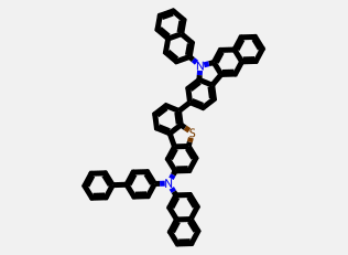 c1ccc(-c2ccc(N(c3ccc4ccccc4c3)c3ccc4sc5c(-c6ccc7c8cc9ccccc9cc8n(-c8ccc9ccccc9c8)c7c6)cccc5c4c3)cc2)cc1